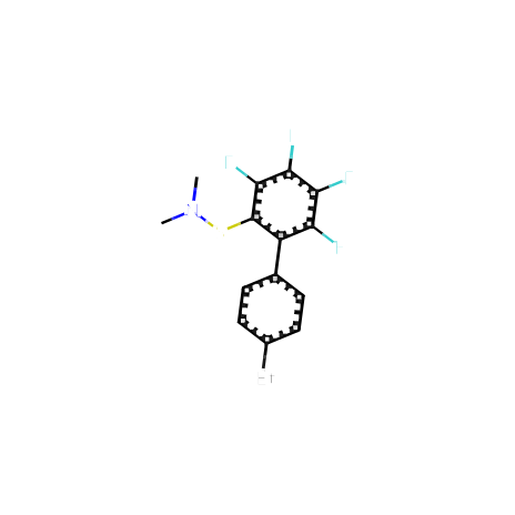 CCc1ccc(-c2c(F)c(F)c(F)c(F)c2SN(C)C)cc1